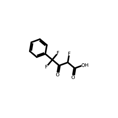 O=C(O)C(F)C(=O)C(F)(F)c1ccccc1